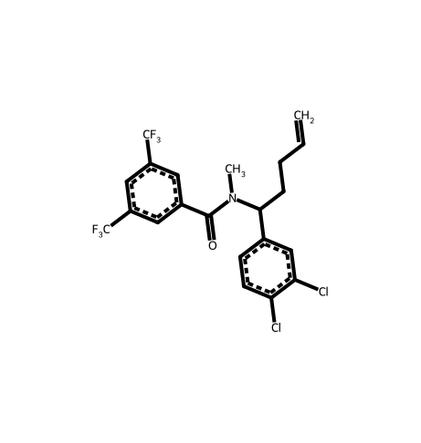 C=CCCC(c1ccc(Cl)c(Cl)c1)N(C)C(=O)c1cc(C(F)(F)F)cc(C(F)(F)F)c1